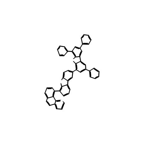 c1ccc(-c2cc(-c3ccccc3)c3sc4c(-c5ccc6oc7c(-c8cccc9ccc%10cccnc%10c89)cccc7c6c5)cc(-c5ccccc5)cc4c3c2)cc1